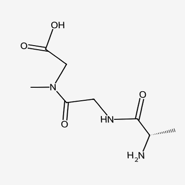 C[C@H](N)C(=O)NCC(=O)N(C)CC(=O)O